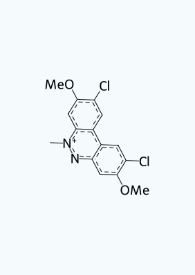 COc1cc2n[n+](C)c3cc(OC)c(Cl)cc3c2cc1Cl